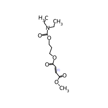 CCN(CC)C(=O)OCCCOC(=O)/C=C/C(=O)OC